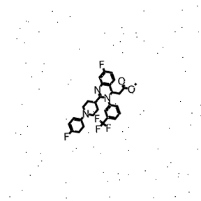 COC(=O)CC1c2ccc(F)cc2N=C(C2CCN(C3=CC=C(F)CC3)CC2)N1c1cccc(C(F)(F)F)c1